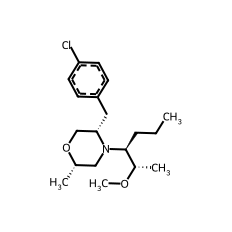 CCC[C@@H]([C@H](C)OC)N1C[C@H](C)OC[C@@H]1Cc1ccc(Cl)cc1